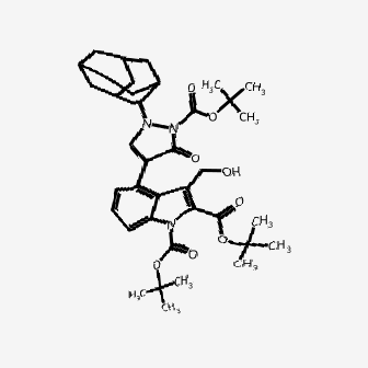 CC(C)(C)OC(=O)c1c(CO)c2c(C3CN(C4C5CC6CC(C5)CC4C6)N(C(=O)OC(C)(C)C)C3=O)cccc2n1C(=O)OC(C)(C)C